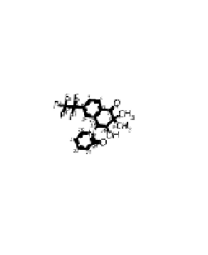 CC1(C)C(=O)c2ccc(C(F)(F)C(F)(F)F)cc2C(n2ccccc2=O)C1O